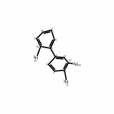 [2H]c1ccc(-c2ccccc2[2H])cc1[2H]